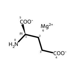 N[C@H](CCC(=O)[O-])C(=O)[O-].[Mg+2]